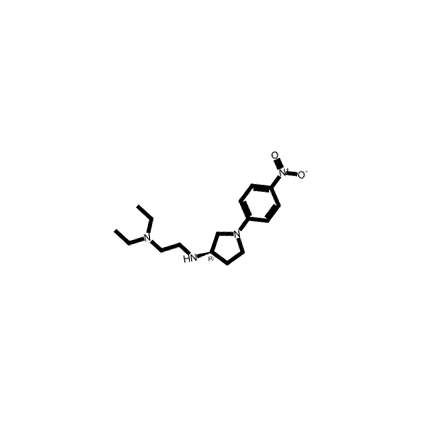 CCN(CC)CCN[C@@H]1CCN(c2ccc([N+](=O)[O-])cc2)C1